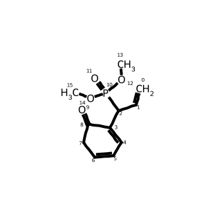 C=CC(C1=CC=CCC1=O)P(=O)(OC)OC